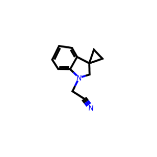 N#CCN1CC2(CC2)c2ccccc21